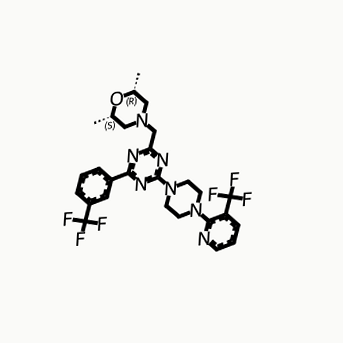 C[C@@H]1CN(Cc2nc(-c3cccc(C(F)(F)F)c3)nc(N3CCN(c4ncccc4C(F)(F)F)CC3)n2)C[C@H](C)O1